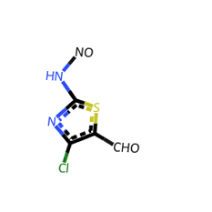 O=Cc1sc(NN=O)nc1Cl